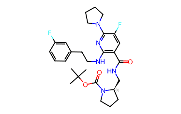 CC(C)(C)OC(=O)N1CCC[C@@H]1CNC(=O)c1cc(F)c(N2CCCC2)nc1NCCc1cccc(F)c1